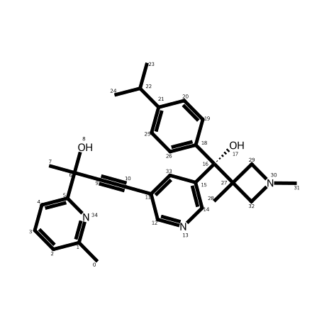 Cc1cccc(C(C)(O)C#Cc2cncc([C@@](O)(c3ccc(C(C)C)cc3)C3(C)CN(C)C3)c2)n1